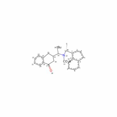 C[C@H](c1cccc2ccccc12)N(C(=O)O)C(C1CC(=O)c2ccccc2C1)C(C)(C)C